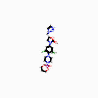 O=C1O[C@@H](Cn2ccnn2)CN1c1cc(F)c(N2CCN(P3(=O)OCCCO3)CC2)c(F)c1